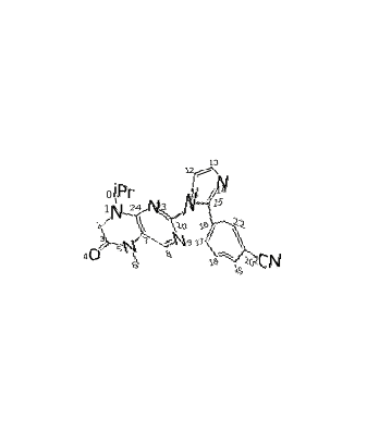 CC(C)N1CC(=O)N(C)c2cnc(-n3ccnc3-c3cccc(C#N)c3)nc21